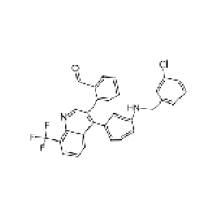 O=Cc1ccccc1-c1cnc2c(C(F)(F)F)cccc2c1-c1cccc(NCc2cccc(Cl)c2)c1